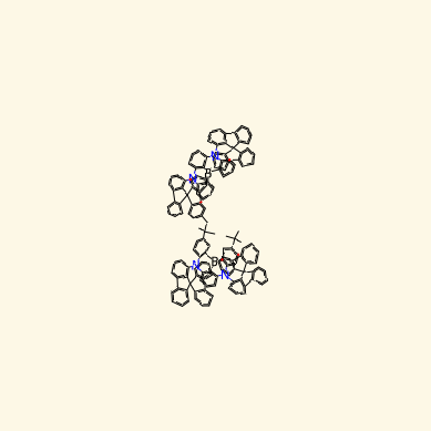 CC(C)(C)c1ccc2c(c1)B1c3cc(C(C)(C)Cc4ccc5c(c4)-c4ccccc4C54c5ccccc5-c5cccc(N6c7ccccc7B7c8ccccc8N(c8cccc9c8C8(c%10ccccc%10-c%10ccccc%108)c8ccccc8-9)c8cccc6c87)c54)ccc3N(c3cccc4c3C3(c5ccccc5-c5ccccc53)c3ccccc3-4)c3cccc(c31)N2c1cccc2c1C1(c3ccccc3-c3ccccc31)c1ccccc1-2